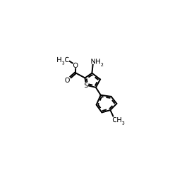 COC(=O)c1sc(-c2ccc(C)cc2)cc1N